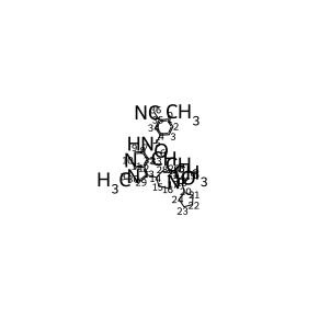 Cc1ccc(C(=O)Nc2cnc3c(c(C4CCN(C(=O)C5CCCC5)C(C)(C)C4)cn3C)c2C)cc1C#N